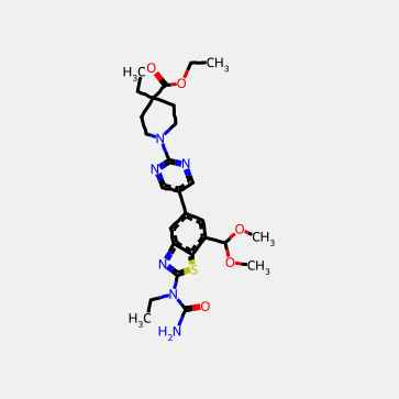 CCOC(=O)C1(CC)CCN(c2ncc(-c3cc(C(OC)OC)c4sc(N(CC)C(N)=O)nc4c3)cn2)CC1